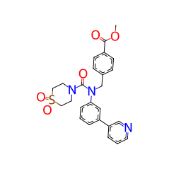 COC(=O)c1ccc(CN(C(=O)N2CCS(=O)(=O)CC2)c2cccc(-c3cccnc3)c2)cc1